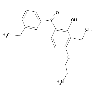 CCc1cccc(C(=O)c2ccc(OCCN)c(CC)c2O)c1